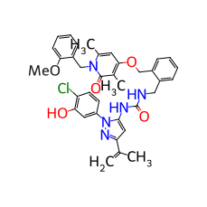 C=C(C)c1cc(NC(=O)NCc2ccccc2COc2cc(C)n(Cc3ccccc3OC)c(=O)c2C)n(-c2ccc(Cl)c(O)c2)n1